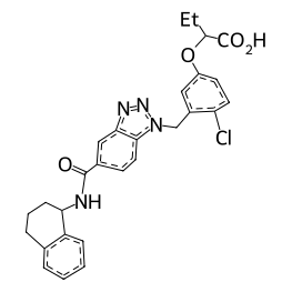 CCC(Oc1ccc(Cl)c(Cn2nnc3cc(C(=O)NC4CCCc5ccccc54)ccc32)c1)C(=O)O